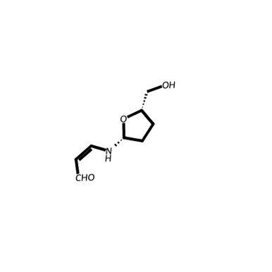 O=C/C=C\N[C@H]1CC[C@@H](CO)O1